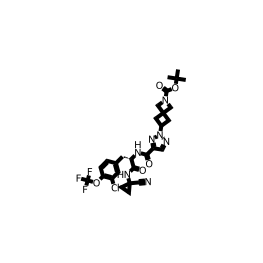 CC(C)(C)OC(=O)N1CC2(CC(n3ncc(C(=O)N[C@@H](Cc4ccc(OC(F)(F)F)c(Cl)c4)C(=O)NC4(C#N)CC4)n3)C2)C1